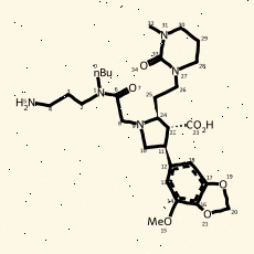 CCCCN(CCCN)C(=O)CN1C[C@H](c2cc(OC)c3c(c2)OCO3)[C@@H](C(=O)O)[C@@H]1CCN1CCCN(C)C1=O